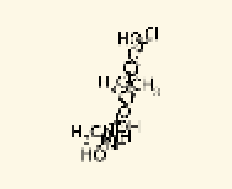 CC1=C(CO)NNN1CC(O)COc1ccc(C(C)(C)c2ccc(OCC(O)CCl)cc2)cc1